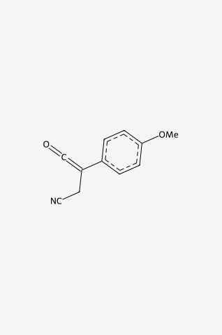 COc1ccc(C(=C=O)CC#N)cc1